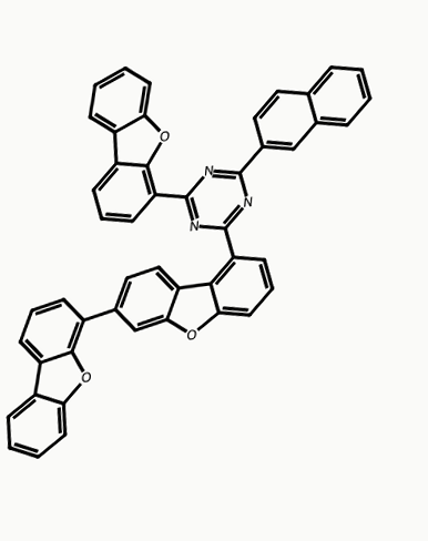 c1ccc2cc(-c3nc(-c4cccc5c4oc4ccccc45)nc(-c4cccc5oc6cc(-c7cccc8c7oc7ccccc78)ccc6c45)n3)ccc2c1